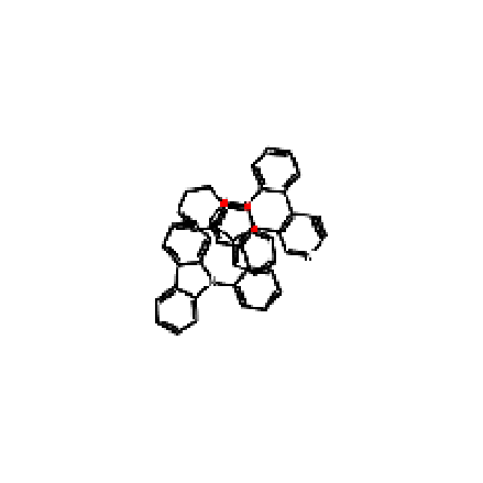 c1ncc(-c2cnccc2-c2ccccc2-n2c3ccccc3c3ccccc32)c(-c2ccccc2-n2c3c(c4ccccc42)C=CCC3)c#1